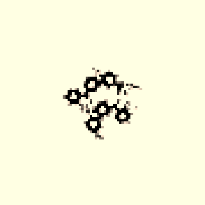 CCn1c2ccc(C(=O)c3ccccc3C)cc2c2cc(C(C)=NOC(C)=O)ccc21.CCn1c2ccc(C(C)=O)cc2c2cc(C(=O)c3ccccc3C)ccc21